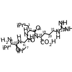 CC(C)C[C@H](NC(=O)[C@H](CC(C)C)NC(=O)[C@@H](N)C(C)C)C(=O)N[C@@H](CCCNC(=N)N)C(=O)O